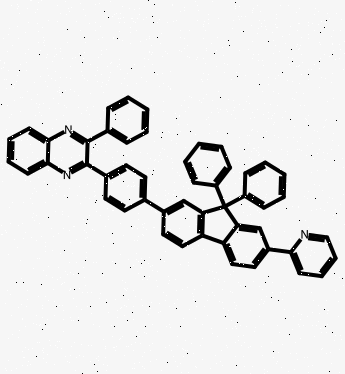 c1ccc(-c2nc3ccccc3nc2-c2ccc(-c3ccc4c(c3)C(c3ccccc3)(c3ccccc3)c3cc(-c5ccccn5)ccc3-4)cc2)cc1